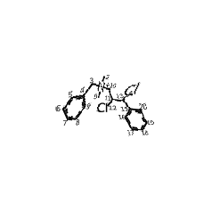 C[N+](C)(Cc1ccccc1)CC(Cl)C(Cl)c1ccccc1